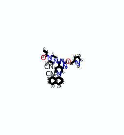 C=CC(=O)N1CCN(c2nc(OCC3CCCN3C)nc3c2CCN(c2cccc4cccc(C#N)c24)C3)C[C@@H]1CC#N